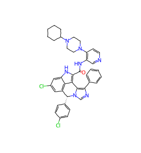 O=C(Nc1cnccc1N1CCN(C2CCCCC2)CC1)c1[nH]c2cc(Cl)cc3c2c1-c1c(-c2ccccc2)ncn1[C@@H]3c1ccc(Cl)cc1